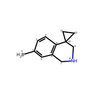 Bc1ccc2c(c1)CNCC21CC1